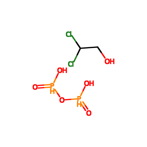 O=[PH](O)O[PH](=O)O.OCC(Cl)Cl